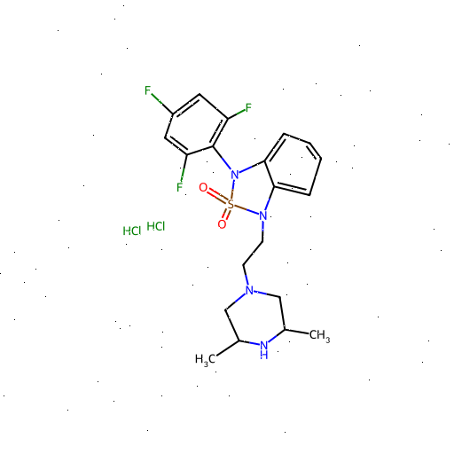 CC1CN(CCN2c3ccccc3N(c3c(F)cc(F)cc3F)S2(=O)=O)CC(C)N1.Cl.Cl